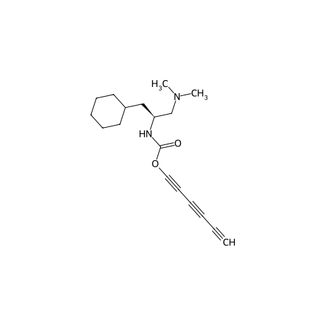 C#CC#CC#COC(=O)N[C@@H](CC1CCCCC1)CN(C)C